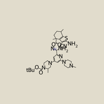 CC1CCC(C)(C(=O)O/N=C(\N)c2cc(N3CCN(C(=O)OC(C)(C)C)C(C)C3)cc(N3CCN(C)CC3)n2)c2c1sc(N)c2C#N